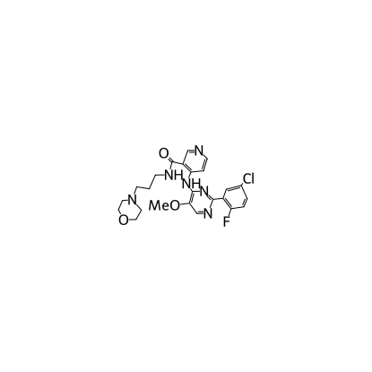 COc1cnc(-c2cc(Cl)ccc2F)nc1Nc1ccncc1C(=O)NCCCN1CCOCC1